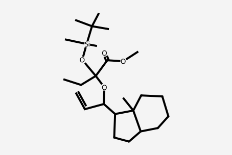 C=CC(OC(CC)(O[Si](C)(C)C(C)(C)C)C(=O)OC)C1CCC2CCCCC21C